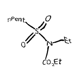 CCCCCS(=O)(=O)N(CC)C(=O)OCC